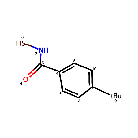 CC(C)(C)c1ccc(C(=O)NS)cc1